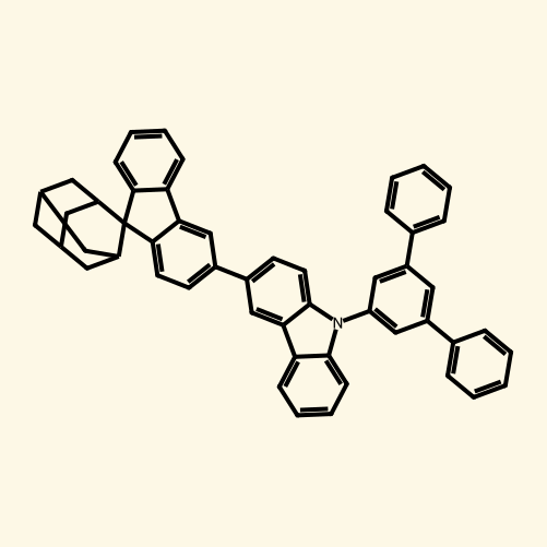 c1ccc(-c2cc(-c3ccccc3)cc(-n3c4ccccc4c4cc(-c5ccc6c(c5)-c5ccccc5C65C6CC7CC(C6)CC5C7)ccc43)c2)cc1